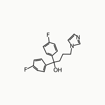 OC(CCCn1ccnc1)(c1ccc(F)cc1)c1ccc(F)cc1